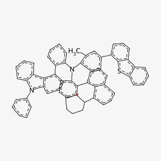 Cc1cc(-c2cccc3c2sc2ccccc23)ccc1N(c1ccccc1-c1cccc2cccc(C3CCCCC3)c12)c1ccccc1-c1cccc2c1c1ccccc1n2-c1ccccc1